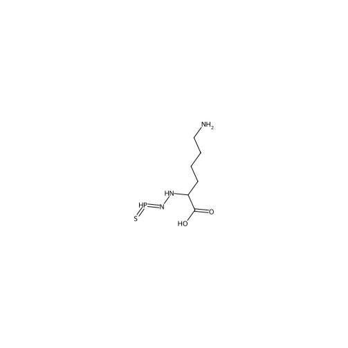 NCCCCC(NN=[PH]=S)C(=O)O